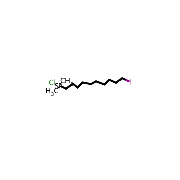 C[Si](C)(Cl)CCCCCCCCCCI